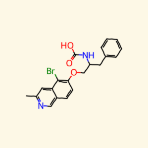 Cc1cc2c(Br)c(OCC(Cc3ccccc3)NC(=O)O)ccc2cn1